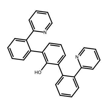 Oc1c(-c2ccccc2-c2ccccn2)cccc1-c1ccccc1-c1ccccn1